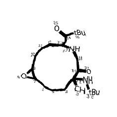 CC(C)(C)NC1(C)CCCC2OC2CCCC(C(=O)C(C)(C)C)NCC1=O